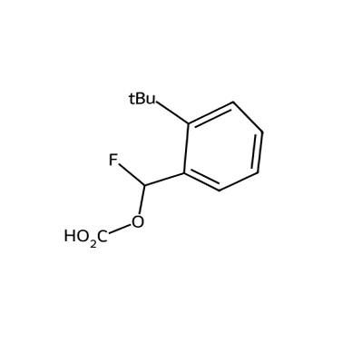 CC(C)(C)c1ccccc1C(F)OC(=O)O